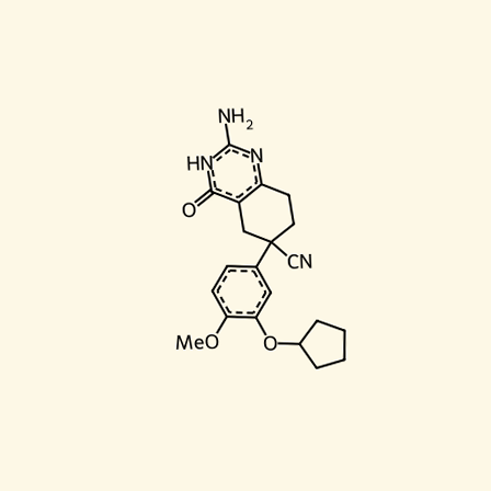 COc1ccc(C2(C#N)CCc3nc(N)[nH]c(=O)c3C2)cc1OC1CCCC1